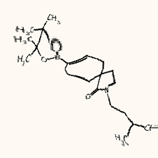 CC(C)CCN1CCC2(CC=C(B3OC(C)(C)C(C)(C)O3)CC2)C1=O